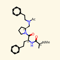 CN[C@@H](C)C(=O)N[C@@H](CCc1ccccc1)C(=O)N1CCC[C@H]1CN(CCc1ccccc1)C(C)=O